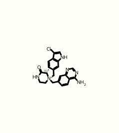 C[C@H]1C(=O)NCC[N+]1(Cc1ccc2c(N)ncnc2c1)Cc1ccc2c(Cl)c[nH]c2c1